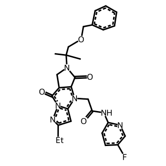 CCc1cc2n(CC(=O)Nc3ccc(F)cn3)c3c(c(=O)n2n1)CN(C(C)(C)COCc1ccccc1)C3=O